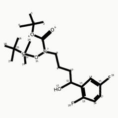 CC(C)(C)OC(=O)N(CCCC(O)c1cc(F)ccc1F)O[Si](C)(C)C(C)(C)C